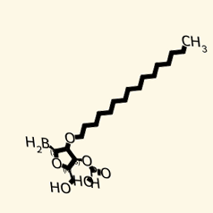 B[C@@H]1O[C@H](CO)[C@H](O[PH](=O)O)C1OCCCCCCCCCCCCCCCC